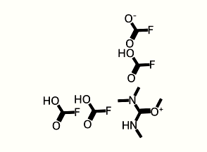 CNC(=[O+]C)N(C)C.O=C(O)F.O=C(O)F.O=C(O)F.O=C([O-])F